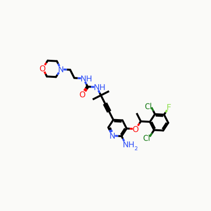 CC(Oc1cc(C#CC(C)(C)NC(=O)NCCN2CCOCC2)cnc1N)c1c(Cl)ccc(F)c1Cl